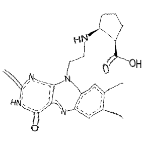 C=c1nc2c(c(=O)[nH]1)=Nc1cc(C)c(C)cc1N2CCN[C@H]1CCC[C@H]1C(=O)O